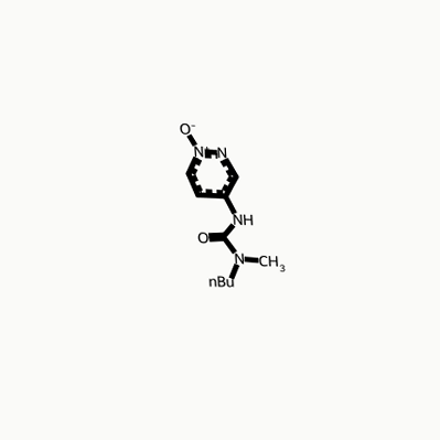 CCCCN(C)C(=O)Nc1cc[n+]([O-])nc1